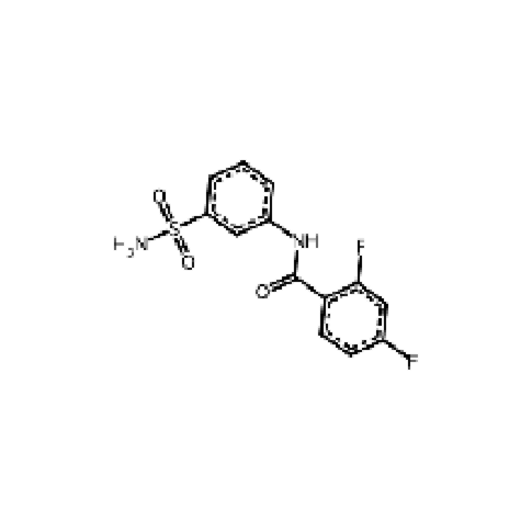 NS(=O)(=O)c1cccc(NC(=O)c2ccc(F)cc2F)c1